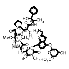 CC[C@H](C)[C@@H]([C@@H](CC(=O)N1CCC[C@H]1[C@H](OC)[C@@H](C)C(=O)N[C@H](C)[C@@H](O)c1ccccc1)OC)N(C)C(=O)[C@@H](NC(=O)[C@H](C(C)C)N(C)C(=O)OCc1ccc(O[C@H]2C[C@@H](O)C[C@@H](C(=O)O)O2)c2cc(CN)sc12)C(C)C